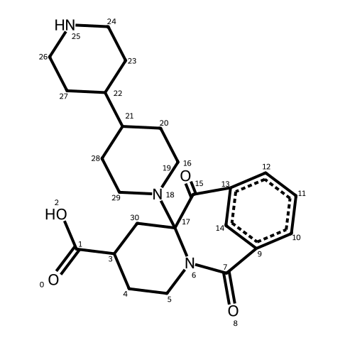 O=C(O)C1CCN2C(=O)c3cccc(c3)C(=O)C2(N2CCC(C3CCNCC3)CC2)C1